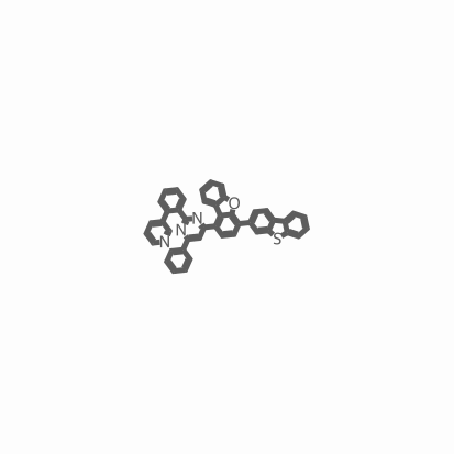 c1ccc(-c2cc(-c3ccc(-c4ccc5c(c4)sc4ccccc45)c4oc5ccccc5c34)nc(-c3ccccc3-c3cccnc3)n2)cc1